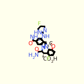 NC(=O)c1cc(NC2=NCC(F)CN2)c2cnn(C(C(N)=O)[C@@H](CC(=O)O)c3cc(OC(F)(F)F)ccc3F)c2c1